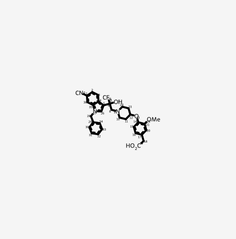 [C-]#[N+]c1ccc2c(C(O)(CN3CCC(Oc4ccc(CC(=O)O)cc4OC)CC3)C(F)(F)F)cn(Cc3ccccc3)c2c1